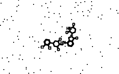 O=C1CCC(N2Cc3c(NC=C4C(=O)CC(c5cccc(Cl)c5Cl)CC4=O)cccc3C2=O)C(=O)N1